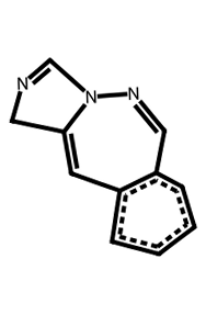 C1=NCC2=Cc3ccccc3C=NN12